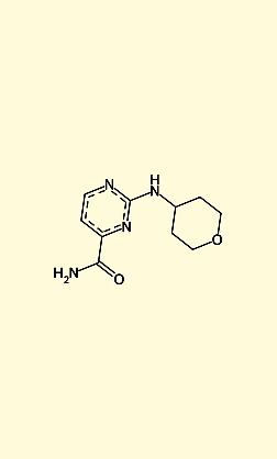 NC(=O)c1ccnc(NC2CCOCC2)n1